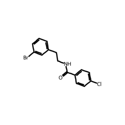 O=C(NCCc1cccc(Br)c1)c1ccc(Cl)cc1